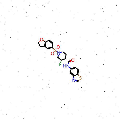 O=C(Nc1ccc2scnc2c1)[C@H]1CCN(S(=O)(=O)c2ccc3c(c2)CCO3)C[C@@H]1F